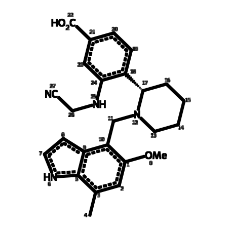 COc1cc(C)c2[nH]ccc2c1CN1CCCC[C@H]1c1ccc(C(=O)O)cc1NCC#N